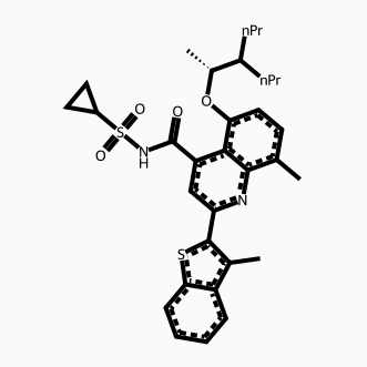 CCCC(CCC)[C@@H](C)Oc1ccc(C)c2nc(-c3sc4ccccc4c3C)cc(C(=O)NS(=O)(=O)C3CC3)c12